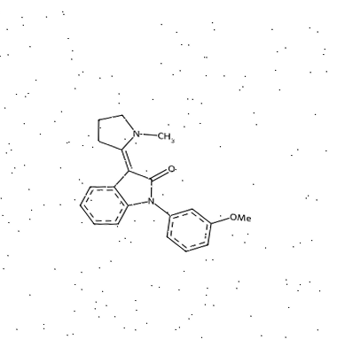 COc1cccc(N2C(=O)C(=C3CCCN3C)c3ccccc32)c1